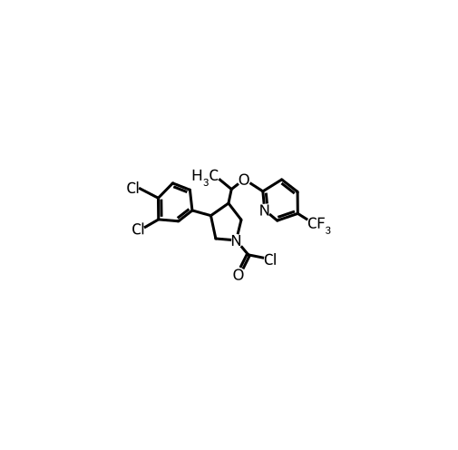 CC(Oc1ccc(C(F)(F)F)cn1)C1CN(C(=O)Cl)CC1c1ccc(Cl)c(Cl)c1